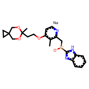 Cc1c(OCCC2(C)OCC3(CC3)CO2)ccnc1C[S+]([O-])c1nc2ccccc2[nH]1.[Na]